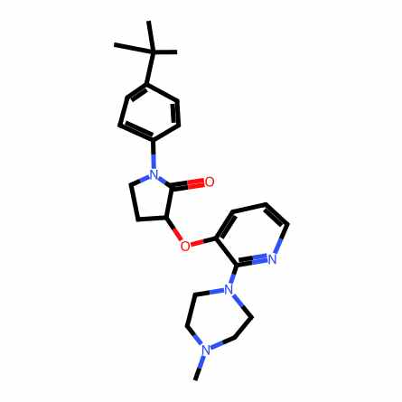 CN1CCN(c2ncccc2OC2CCN(c3ccc(C(C)(C)C)cc3)C2=O)CC1